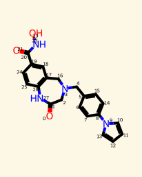 O=C1CN(Cc2ccc(-n3cccc3)cc2)Cc2cc(C(=O)NO)ccc2N1